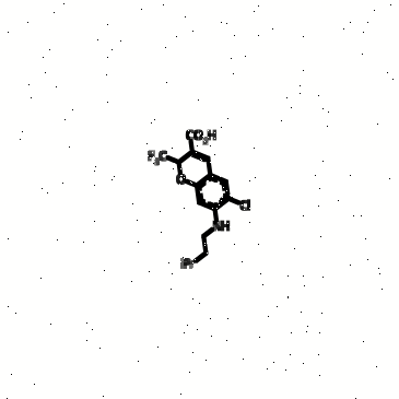 CC(C)CCNc1cc2c(cc1Cl)C=C(C(=O)O)C(C(F)(F)F)O2